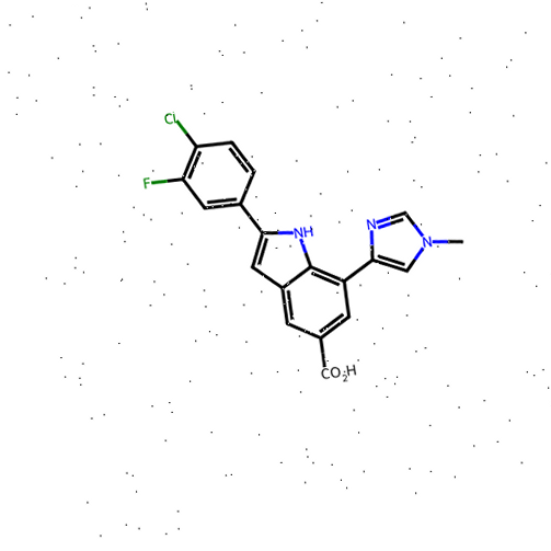 Cn1cnc(-c2cc(C(=O)O)cc3cc(-c4ccc(Cl)c(F)c4)[nH]c23)c1